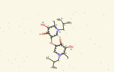 CCCCC(CC)Cn1cc(Oc2cn(CC(CC)CCCC)c(C)c(O)c2=O)c(=O)c(O)c1C